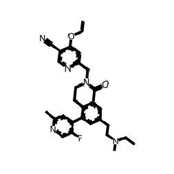 CCOc1cc(CN2CCc3c(cc(CCN(C)CC)cc3-c3cc(C)ncc3F)C2=O)ncc1C#N